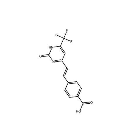 O=C(O)c1ccc(/C=C/c2cc(C(F)(F)F)[nH]c(=O)n2)cc1